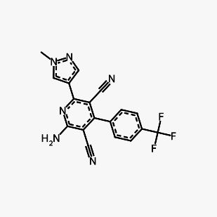 Cn1cc(-c2nc(N)c(C#N)c(-c3ccc(C(F)(F)F)cc3)c2C#N)cn1